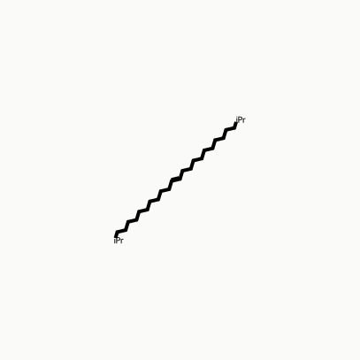 CC(C)CCCCCCCCCCC=CCCCCCCCCCCC(C)C